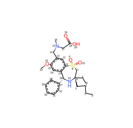 CCCC[C@]1(CC)CS(=O)(=O)c2cc(CN(C)CC(=O)O)c(OC)cc2[C@@H](c2ccccc2)N1